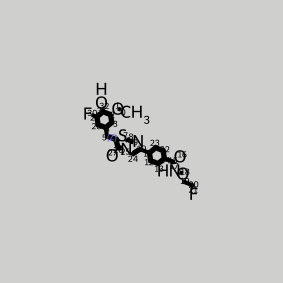 COc1cc(/C=c2\sc3nc(-c4ccc(C(=O)NOCCF)cc4)cn3c2=O)cc(F)c1O